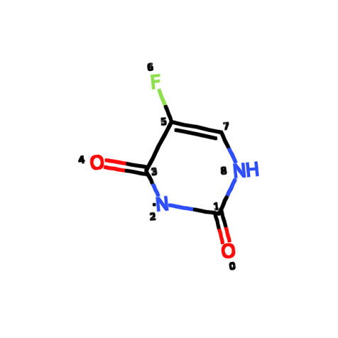 O=C1[N]C(=O)C(F)=CN1